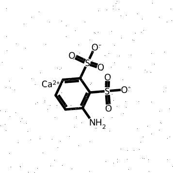 Nc1cccc(S(=O)(=O)[O-])c1S(=O)(=O)[O-].[Ca+2]